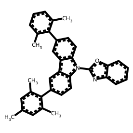 Cc1cc(C)c(-c2ccc3c(c2)c2cc(-c4c(C)cccc4C)ccc2n3-c2nc3ccccc3o2)c(C)c1